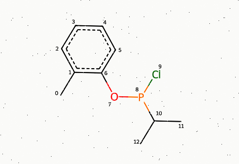 Cc1ccccc1OP(Cl)C(C)C